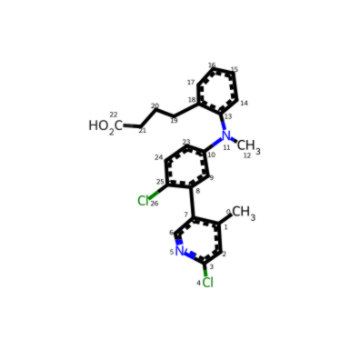 Cc1cc(Cl)ncc1-c1cc(N(C)c2ccccc2CCCC(=O)O)ccc1Cl